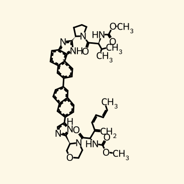 C=C(/C=C\C=C/C)[C@@H](NC(=O)OC)C(=O)N1CCOC[C@H]1c1ncc(-c2ccc3cc(-c4ccc5c(ccc6nc([C@@H]7CCCN7C(=O)[C@@H](NC(=O)OC)C(C)C)[nH]c65)c4)ccc3c2)[nH]1